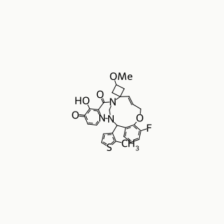 COC1CC2(/C=C/COc3c(F)cccc3C(c3ccsc3C)N3CN2C(=O)c2c(O)c(=O)ccn23)C1